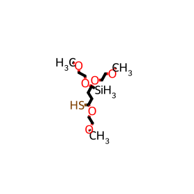 COCCOC(S)CCC([SiH3])(OCCOC)OCCOC